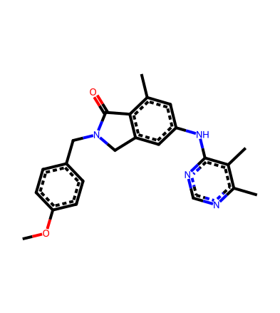 COc1ccc(CN2Cc3cc(Nc4ncnc(C)c4C)cc(C)c3C2=O)cc1